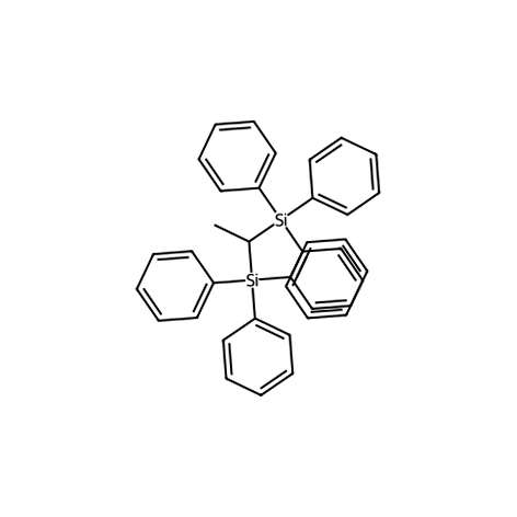 CC([Si](c1ccccc1)(c1ccccc1)c1ccccc1)[Si](c1ccccc1)(c1ccccc1)c1ccccc1